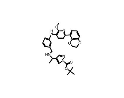 COc1nc(-c2cccc3c2OCCO3)ccc1Nc1cccc(CNC(C)c2cnn(C(=O)OC(C)(C)C)c2)c1